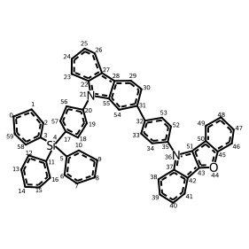 c1ccc([Si](c2ccccc2)(c2ccccc2)c2ccc(-n3c4ccccc4c4ccc(-c5ccc(-n6c7ccccc7c7oc8ccccc8c76)cc5)cc43)cc2)cc1